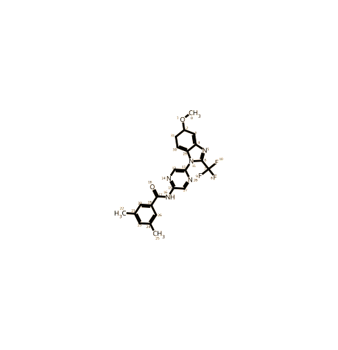 COC1C=c2nc(C(F)(F)F)n(-c3cnc(NC(=O)c4cc(C)cc(C)c4)cn3)c2=CC1